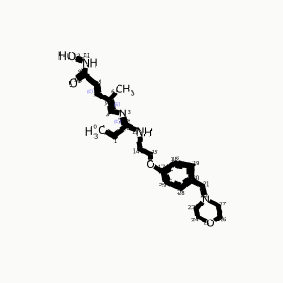 CC\C(=N/C=C(C)/C=C/C(=O)NO)NCCOc1ccc(CN2CCOCC2)cc1